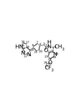 C[C@@H](NC(=O)Cc1ccc(-c2ncnc3[nH]ccc23)cc1)c1ccc(OCC(F)(F)F)cn1